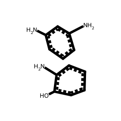 Nc1cccc(N)c1.Nc1ccccc1O